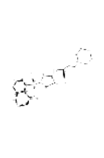 O=C(CCN1CCNCC1)N[C@H]1CCN(S(=O)(=O)c2cccc3cncc(Cl)c23)C1